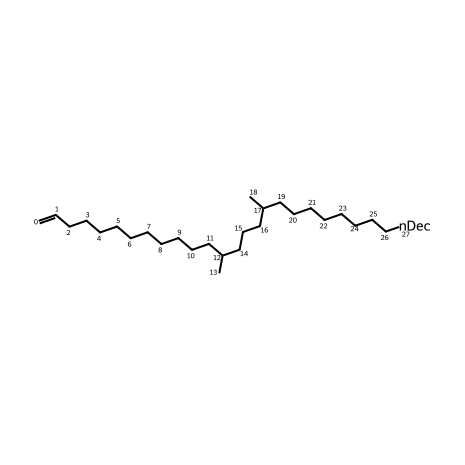 C=CCCCCCCCCCCC(C)CCCC(C)CCCCCCCCCCCCCCCCCC